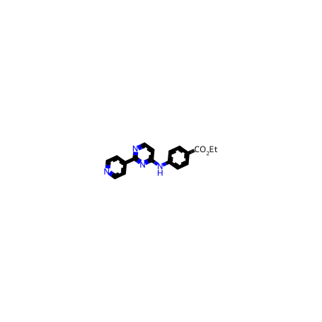 CCOC(=O)c1ccc(Nc2ccnc(-c3ccncc3)n2)cc1